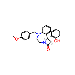 COc1ccc(CN2CCN3C(=O)[C@@H](O)[C@]3(c3ccccc3)c3ccccc32)cc1